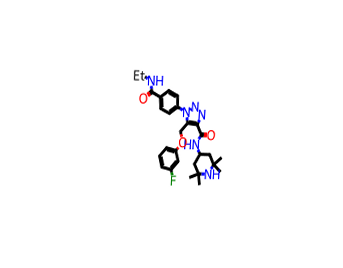 CCNC(=O)c1ccc(-n2nnc(C(=O)NC3CC(C)(C)NC(C)(C)C3)c2COc2cccc(F)c2)cc1